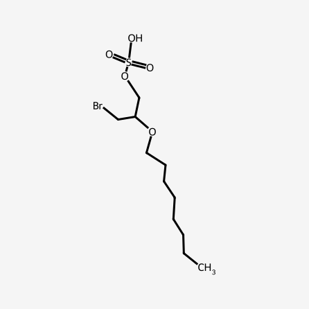 CCCCCCCCOC(CBr)COS(=O)(=O)O